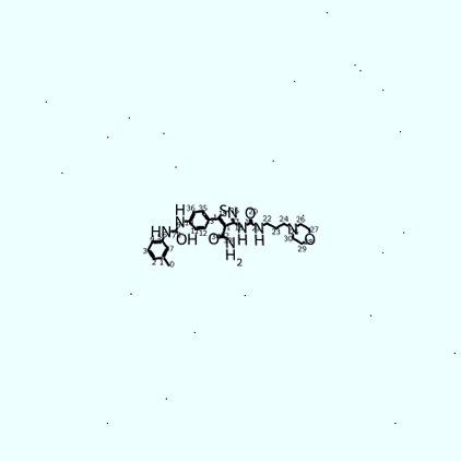 Cc1cccc(NC(O)Nc2ccc(-c3snc(NC(=O)NCCCN4CCOCC4)c3C(N)=O)cc2)c1